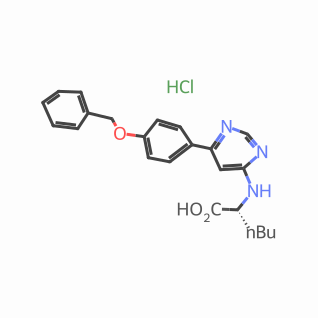 CCCC[C@@H](Nc1cc(-c2ccc(OCc3ccccc3)cc2)ncn1)C(=O)O.Cl